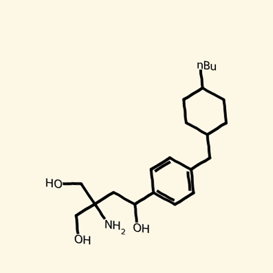 CCCCC1CCC(Cc2ccc(C(O)CC(N)(CO)CO)cc2)CC1